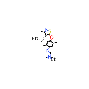 CCOC(=O)c1c(C)nsc1Oc1cc(C)c(N=CN(C)CC)cc1C